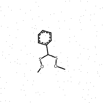 COSC(SOC)c1ccccc1